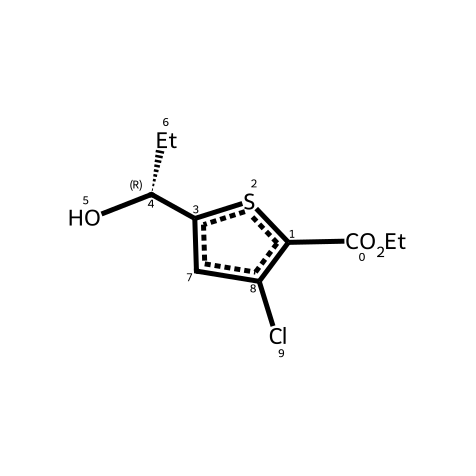 CCOC(=O)c1sc([C@H](O)CC)cc1Cl